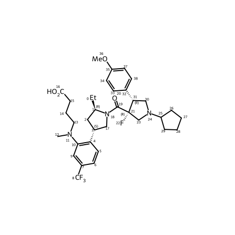 CC[C@@H]1C[C@@H](c2ccc(C(F)(F)F)cc2N(C)CCCC(=O)O)CN1C(=O)[C@]1(F)CN(C2CCCC2)C[C@H]1c1ccc(OC)cc1